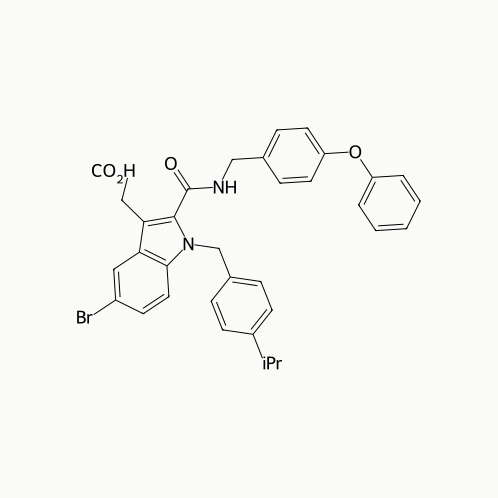 CC(C)c1ccc(Cn2c(C(=O)NCc3ccc(Oc4ccccc4)cc3)c(CC(=O)O)c3cc(Br)ccc32)cc1